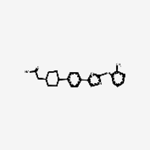 Cc1ccccc1Nc1ncc(-c2ccc(C3CCC(CC(=O)O)CC3)cc2)o1